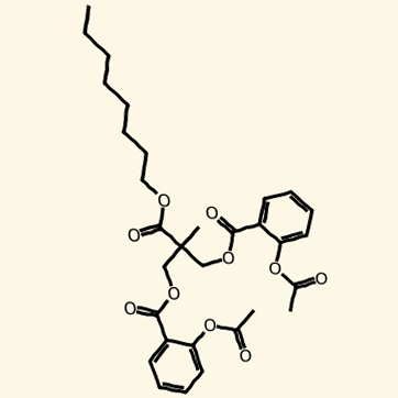 CCCCCCCCOC(=O)C(C)(COC(=O)c1ccccc1OC(C)=O)COC(=O)c1ccccc1OC(C)=O